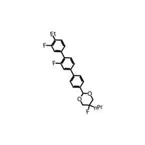 CCCC1(F)COC(c2ccc(-c3ccc(-c4ccc(CC)c(F)c4)c(F)c3)cc2)OC1